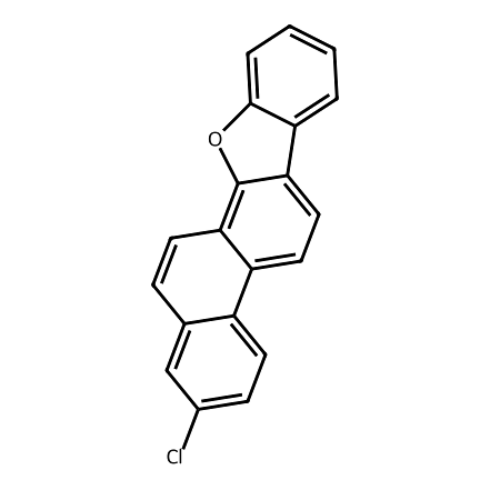 Clc1ccc2c(ccc3c2ccc2c4ccccc4oc23)c1